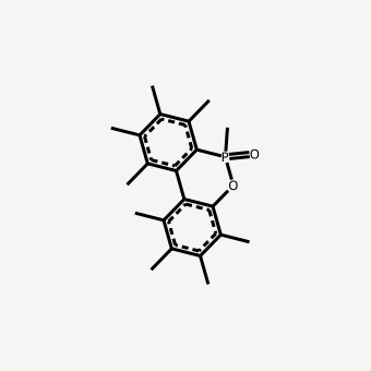 Cc1c(C)c(C)c2c(c1C)OP(C)(=O)c1c(C)c(C)c(C)c(C)c1-2